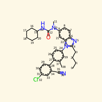 CCCCc1nc2ccc(N(C)C(=O)NC3CCCCC3)cc2n1-c1ccc(-c2ccc(Cl)cc2C#N)c(C)c1